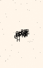 O=C1COc2cc(F)c(-c3ncnc(C(F)(F)F)c3Cl)cc2N1